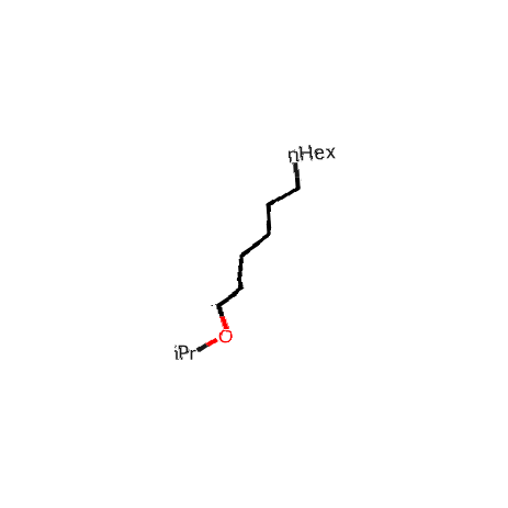 CCCCCCCCCCC[CH]OC(C)C